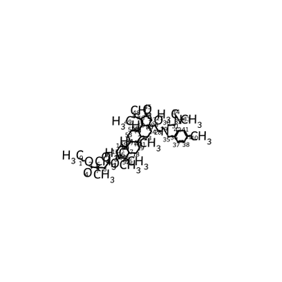 CCOC(=O)C(C)(C)CC(=O)O[C@H]1CC[C@@]2(C)C(CC[C@@]3(C)C4CC[C@@]5(C(=O)CN(CCN(C)C)Cc6ccc(C)cc6)CC(=O)C(C(C)C)=C5[C@H]4CC[C@@H]32)C1(C)C